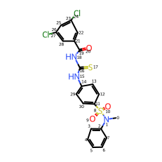 CN(c1ccccc1)S(=O)(=O)c1ccc(NC(=S)NC(=O)c2cc(Cl)cc(Cl)c2)cc1